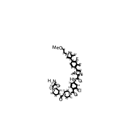 COCCn1cc(-c2ccc(-c3cnc(C(=O)Nc4ccc(C(=O)N5CCN(C(=O)[C@H]6CC[N@+](C)(CC(N)=O)CC6)CC5)c(Cl)c4)n3C)c(F)c2F)c(C)n1